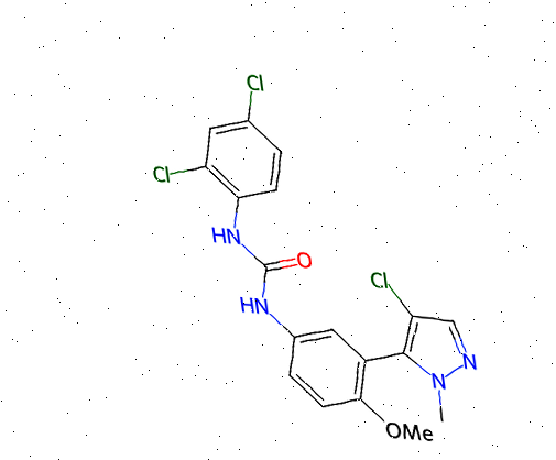 COc1ccc(NC(=O)Nc2ccc(Cl)cc2Cl)cc1-c1c(Cl)cnn1C